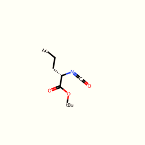 CC(=O)CC[C@H](N=C=O)C(=O)OC(C)(C)C